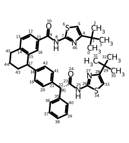 CC(C)(C)c1csc(NC(=O)c2ccc3c(c2)C(c2ccc([C@H](C(=O)Nc4nc(C(C)(C)C)cs4)c4ccccc4)cc2)CCC3)n1